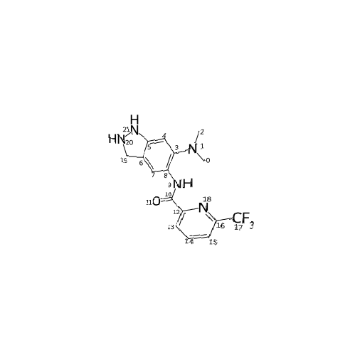 CN(C)c1cc2c(cc1NC(=O)c1cccc(C(F)(F)F)n1)CNN2